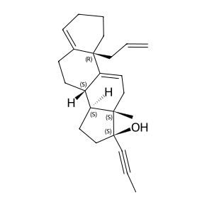 C=CC[C@]12CCCC=C1CC[C@@H]1C2=CC[C@@]2(C)[C@H]1CC[C@@]2(O)C#CC